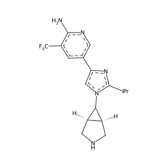 CC(C)c1nc(-c2cnc(N)c(C(F)(F)F)c2)cn1C1[C@H]2CNC[C@@H]12